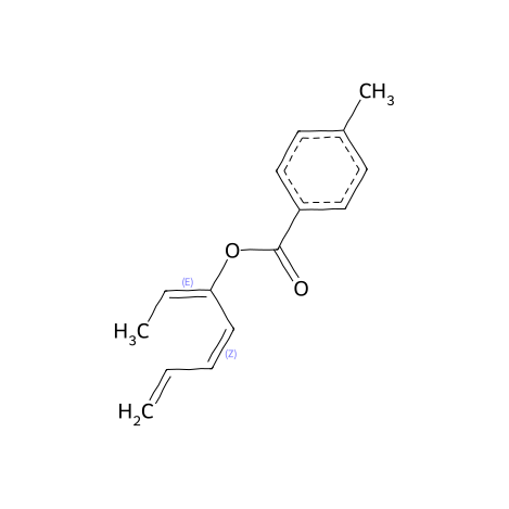 C=C/C=C\C(=C/C)OC(=O)c1ccc(C)cc1